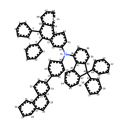 c1ccc(-c2c(-c3ccccc3)c3cc(N(c4ccc(-c5ccc6c(ccc7ccccc76)c5)cc4)c4cccc5c4-c4ccccc4C5(c4ccccc4)c4ccccc4)ccc3c3ccccc23)cc1